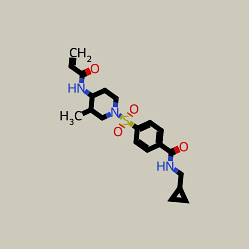 C=CC(=O)NC1CCN(S(=O)(=O)c2ccc(C(=O)NCC3CC3)cc2)CC1C